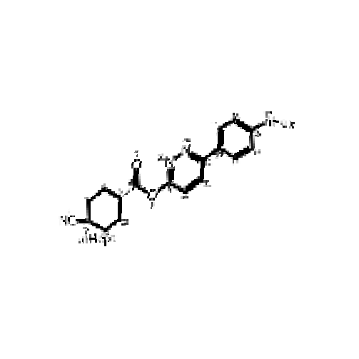 CCCCCCC[C@]1(C#N)CC[C@H](C(=O)Oc2ccc(-c3ccc(CCCCCC)cc3)nn2)CC1